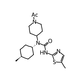 CC(=O)N1CCC(N(C(=O)Nc2ncc(C)s2)[C@H]2CC[C@H](C)CC2)CC1